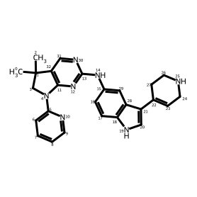 CC1(C)CN(c2ccccn2)c2nc(Nc3ccc4[nH]cc(C5=CCNCC5)c4c3)ncc21